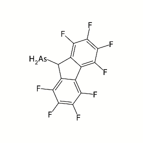 Fc1c(F)c(F)c2c(c1F)-c1c(F)c(F)c(F)c(F)c1C2[AsH2]